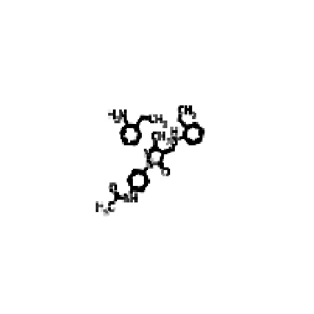 CCc1ccccc1N.CCc1ccccc1NC=C1C(=O)N(c2ccc(NC(C)=O)cc2)N=C1C